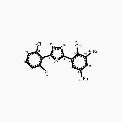 CC(C)(C)c1cc(-c2nc(-c3c(Cl)cccc3Cl)no2)c(O)c(C(C)(C)C)c1